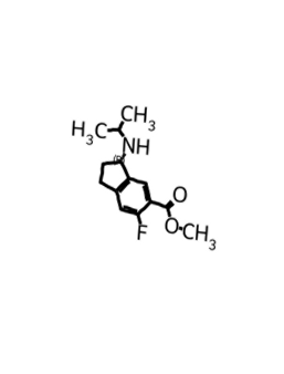 COC(=O)c1cc2c(cc1F)CC[C@H]2NC(C)C